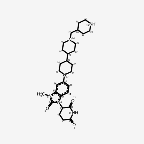 Cn1c(=O)n(C2CCC(=O)NC2=O)c2ccc(N3CCC(C4CCN(CC5CCNCC5)CC4)CC3)cc21